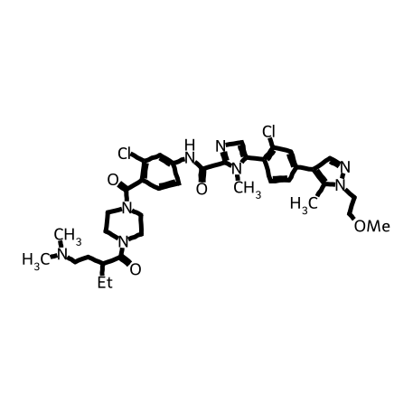 CCC(CCN(C)C)C(=O)N1CCN(C(=O)c2ccc(NC(=O)c3ncc(-c4ccc(-c5cnn(CCOC)c5C)cc4Cl)n3C)cc2Cl)CC1